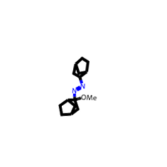 COC1(N=NC2CC3CCC2C3)CC2CCC1C2